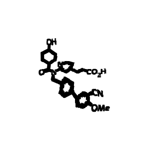 COc1ccc(-c2ccc(CN(C(=O)C3CCC(O)CC3)c3cc(C=CC(=O)O)ccn3)cc2)cc1C#N